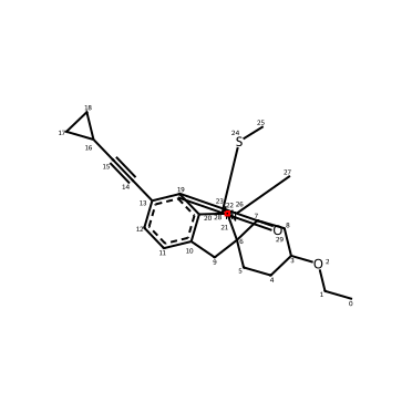 CCOC1CCC2(CC1)Cc1ccc(C#CC3CC3)cc1C21N=C(SC)N(C)C1=O